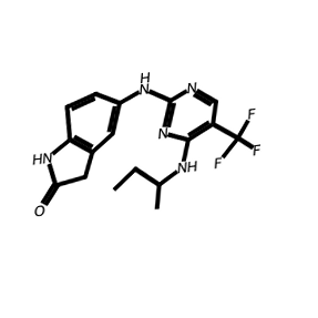 CCC(C)Nc1nc(Nc2ccc3c(c2)CC(=O)N3)ncc1C(F)(F)F